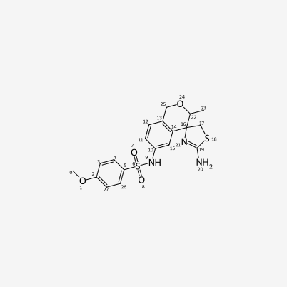 COc1ccc(S(=O)(=O)Nc2ccc3c(c2)C2(CSC(N)=N2)C(C)OC3)cc1